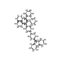 c1ccc(N2B3c4c(cccc4-c4cc(-c5ccc(-n6c7ccccc7c7ccccc76)cc5)ccc4N3c3ccccc3)-c3ccccc32)cc1